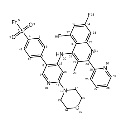 CCS(=O)(=O)c1ccc(-c2cnc(N3CCOCC3)cc2Nc2c(C)c(-c3ccccn3)nc3cc(F)cc(F)c23)cc1